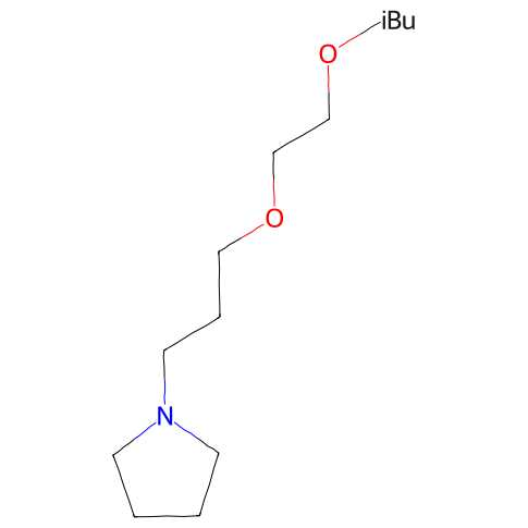 CCC(C)OCCOCCCN1CCCC1